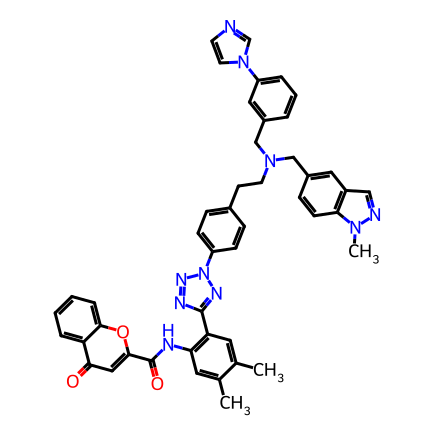 Cc1cc(NC(=O)c2cc(=O)c3ccccc3o2)c(-c2nnn(-c3ccc(CCN(Cc4cccc(-n5ccnc5)c4)Cc4ccc5c(cnn5C)c4)cc3)n2)cc1C